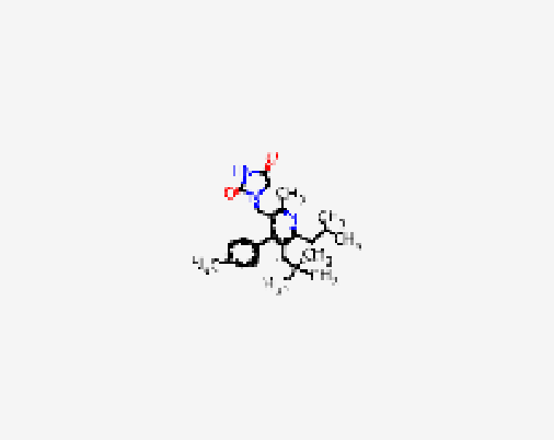 Cc1ccc(-c2c([CH]C(C)(C)C)c(CC(C)C)nc(C)c2CN2CC(=O)NC2=O)cc1